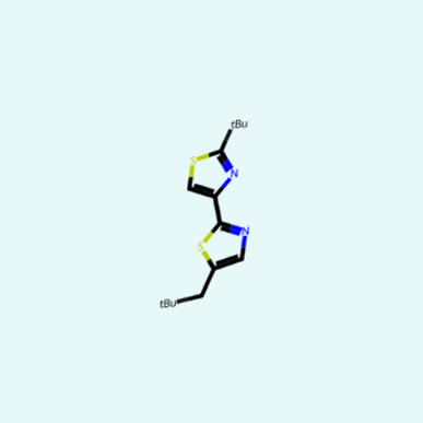 CC(C)(C)Cc1cnc(-c2csc(C(C)(C)C)n2)s1